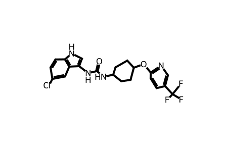 O=C(Nc1c[nH]c2ccc(Cl)cc12)NC1CCC(Oc2ccc(C(F)(F)F)cn2)CC1